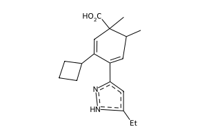 CCc1cc(C2=CC(C)C(C)(C(=O)O)C=C2C2CCC2)n[nH]1